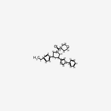 CCc1ccc(C2CC(c3cn(-c4ccccc4)cn3)CN(C(=O)N3CCOCC3)C2)cc1